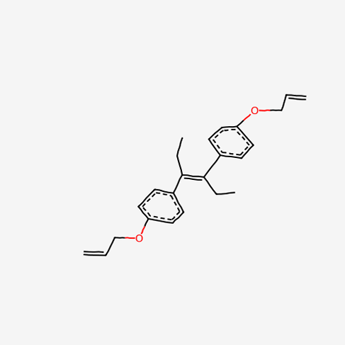 C=CCOc1ccc(/C(CC)=C(\CC)c2ccc(OCC=C)cc2)cc1